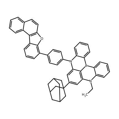 CCN1c2ccccc2B2c3ccccc3N(c3ccc(-c4cccc5c4oc4ccc6ccccc6c45)cc3)c3cc(C45CC6CC(CC(C6)C4)C5)cc1c32